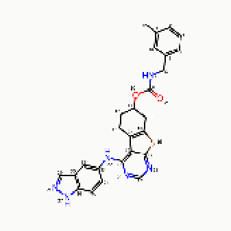 Cc1cccc(CNC(=O)OC2CCc3c(sc4ncnc(Nc5ccc6[nH]ncc6c5)c34)C2)c1